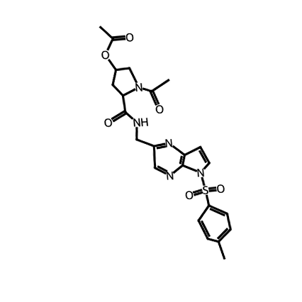 CC(=O)OC1CC(C(=O)NCc2cnc3c(ccn3S(=O)(=O)c3ccc(C)cc3)n2)N(C(C)=O)C1